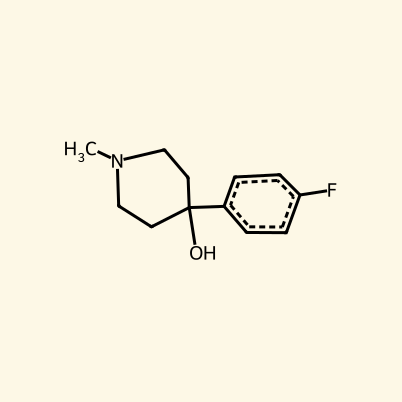 CN1CCC(O)(c2ccc(F)cc2)CC1